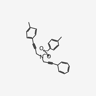 Cc1ccc(C#CCN(CC#CC2C=CC=CC=C2)S(=O)(=O)c2ccc(C)cc2)cc1